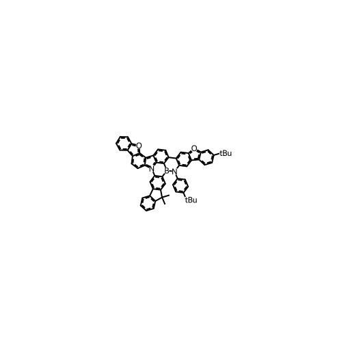 CC(C)(C)c1ccc(N2B3c4cc5c(cc4-n4c6ccc7c8ccccc8oc7c6c6ccc(c3c64)-c3cc4oc6cc(C(C)(C)C)ccc6c4cc32)-c2ccccc2C5(C)C)cc1